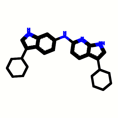 c1cc2c(C3CCCCC3)c[nH]c2cc1Nc1ccc2c(C3CCCCC3)c[nH]c2n1